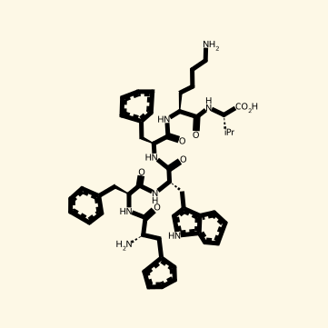 CC(C)[C@H](NC(=O)[C@H](CCCCN)NC(=O)[C@H](Cc1ccccc1)NC(=O)[C@H](Cc1c[nH]c2ccccc12)NC(=O)[C@H](Cc1ccccc1)NC(=O)[C@@H](N)Cc1ccccc1)C(=O)O